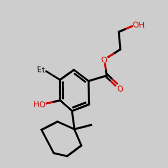 CCc1cc(C(=O)OCCO)cc(C2(C)CCCCC2)c1O